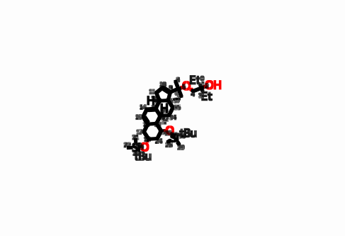 CCC(O)(CC)COC(C)(C)C1=CC[C@H]2C3=CC=C4C[C@@H](O[Si](C)(C)C(C)(C)C)C[C@H](O[Si](C)(C)C(C)(C)C)[C@]4(C)[C@H]3CC[C@]12C